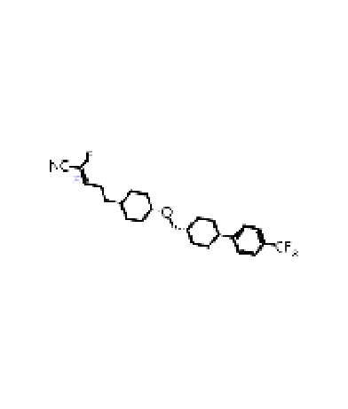 N#C/C(F)=C/CC[C@H]1CC[C@H](OC[C@H]2CC[C@H](c3ccc(C(F)(F)F)cc3)CC2)CC1